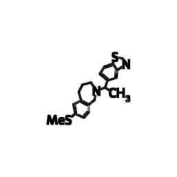 CSc1ccc2c(c1)CCCN(C(C)c1ccc3scnc3c1)C2